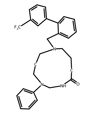 O=C1CCCN(Cc2ccccc2-c2cccc(C(F)(F)F)c2)CCCN(c2ccccc2)CN1